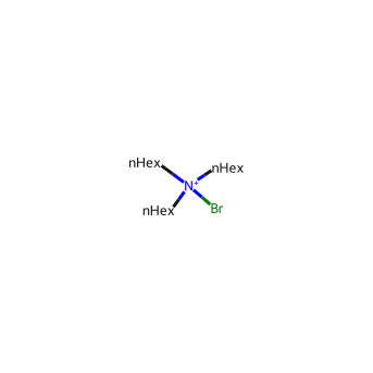 CCCCCC[N+](Br)(CCCCCC)CCCCCC